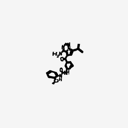 COc1ccccc1NC(=O)Nc1cccc(C(=O)c2cc(C(C)C)n3ncnc(N)c23)c1